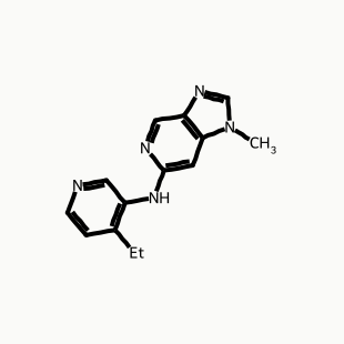 CCc1ccncc1Nc1cc2c(cn1)ncn2C